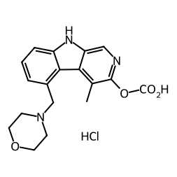 Cc1c(OC(=O)O)ncc2[nH]c3cccc(CN4CCOCC4)c3c12.Cl